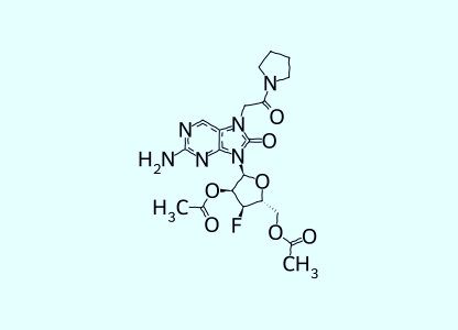 CC(=O)OC[C@H]1O[C@H](n2c(=O)n(CC(=O)N3CCCC3)c3cnc(N)nc32)[C@H](OC(C)=O)[C@@H]1F